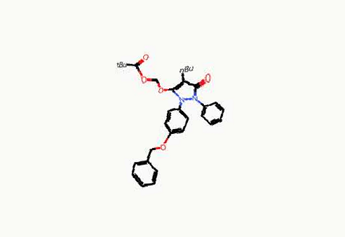 CCCCc1c(OCOC(=O)C(C)(C)C)n(-c2ccc(OCc3ccccc3)cc2)n(-c2ccccc2)c1=O